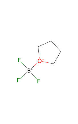 F[B-](F)(F)[O+]1CCCC1